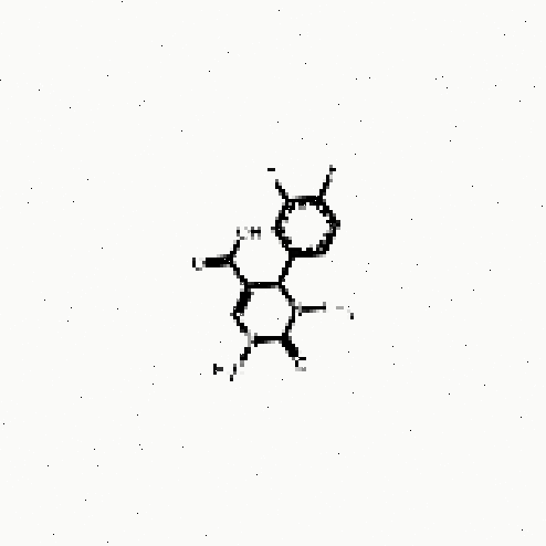 CN1C=C(C(=O)O)C(c2ccc(F)c(F)c2)N(C)C1=O